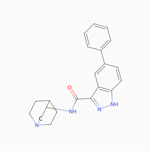 O=C(NC1CN2CCC1CC2)c1n[nH]c2ccc(-c3ccccc3)cc12